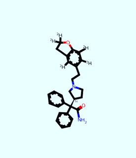 [2H]c1c([2H])c2c(c([2H])c1CCN1CC[C@@H](C(C(N)=O)(c3ccccc3)c3ccccc3)C1)CC([2H])([2H])O2